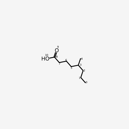 CCCC(C)CCCC(=O)O